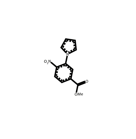 COC(=O)c1ccc([N+](=O)[O-])c(-n2cccc2)c1